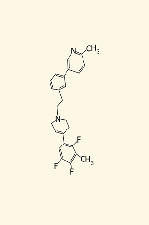 Cc1ccc(-c2cccc(CCN3CC=C(c4cc(F)c(F)c(C)c4F)CC3)c2)cn1